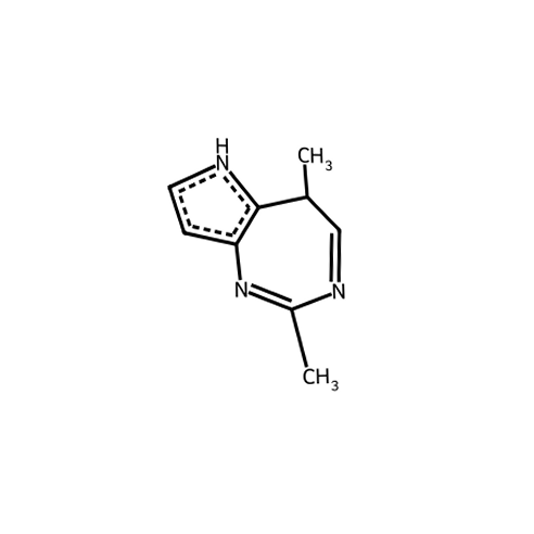 CC1=Nc2cc[nH]c2C(C)C=N1